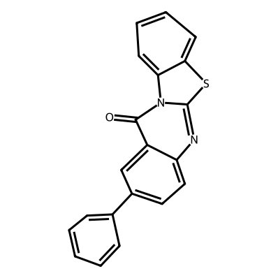 O=c1c2cc(-c3ccccc3)ccc2nc2sc3ccccc3n12